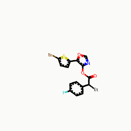 CCC(C(=O)Oc1ncoc1-c1ccc(Br)s1)c1ccc(F)cc1